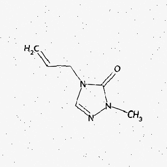 C=CCn1cnn(C)c1=O